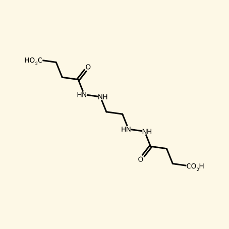 O=C(O)CCC(=O)NNCCNNC(=O)CCC(=O)O